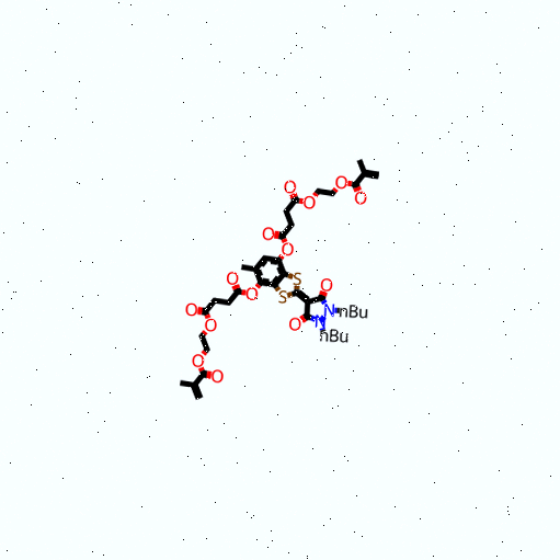 C=C(C)C(=O)OCCOC(=O)CCC(=O)Oc1cc(C)c(OC(=O)CCC(=O)OCCOC(=O)C(=C)C)c2c1SC(=C1C(=O)N(CCCC)N(CCCC)C1=O)S2